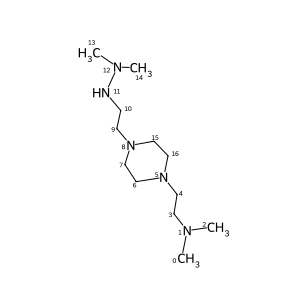 CN(C)CCN1CCN(CCNN(C)C)CC1